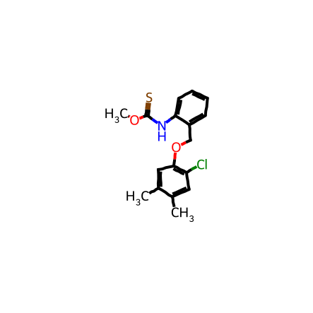 COC(=S)Nc1ccccc1COc1cc(C)c(C)cc1Cl